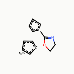 [Fe+2].c1cc[c-](C2=NCCO2)c1.c1cc[cH-]c1